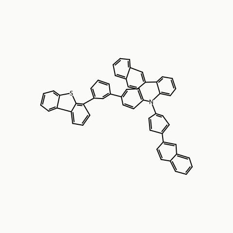 c1cc(-c2ccc(N(c3ccc(-c4ccc5ccccc5c4)cc3)c3ccccc3-c3ccc4ccccc4c3)cc2)cc(-c2cccc3c2sc2ccccc23)c1